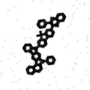 CC1(C)c2cc(-c3nc4ccccc4nc3-c3ccccc3)ccc2-c2ccc(-n3c4ccccc4c4cc5c6c7ccccc7ccc6n(-c6ccccc6)c5cc43)cc21